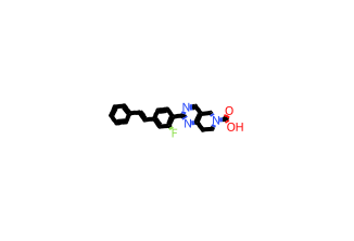 O=C(O)N1CCc2nc(-c3ccc(C=Cc4ccccc4)cc3F)ncc2C1